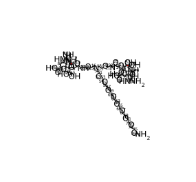 CC(=O)N[C@H]1[C@H]([C@H](OCC(=O)NCCOCCN(CCOCCNC(=O)CO[C@@H]([C@@H]2OC(C(=O)O)=C[C@H](NC(=N)N)[C@H]2NC(C)=O)[C@H](O)CO)CCOCCOCCOCCOCCOCCOCCOCCOCCON)[C@H](O)CO)OC(C(=O)O)=C[C@@H]1NC(=N)N